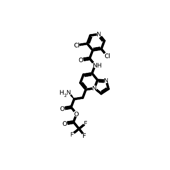 N[C@@H](Cc1ccc(NC(=O)c2c(Cl)cncc2Cl)c2nccn12)C(=O)OC(=O)C(F)(F)F